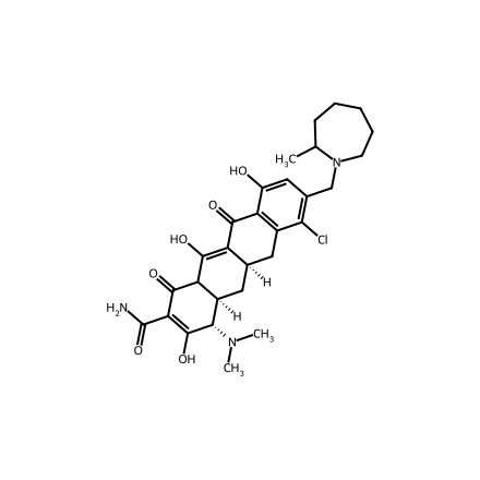 CC1CCCCCN1Cc1cc(O)c2c(c1Cl)C[C@H]1C[C@@H]3C(C(=O)C(C(N)=O)=C(O)[C@H]3N(C)C)C(O)=C1C2=O